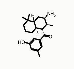 Cc1cc(O)cc(C(=O)[C@H]2[C@H](C)[C@H](N)C[C@H]3C(C)(C)CCC[C@]23C)c1